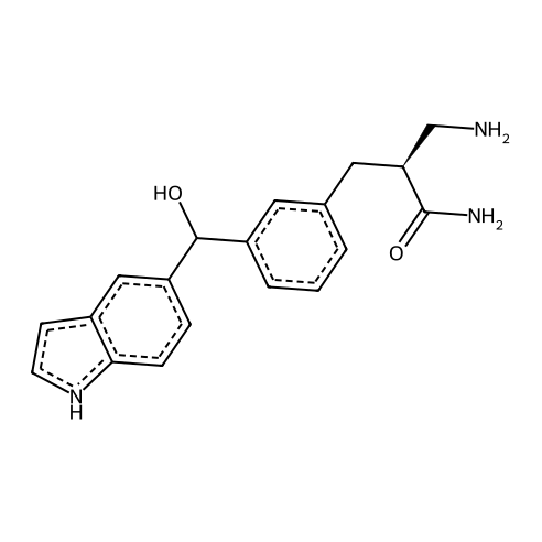 NC[C@H](Cc1cccc(C(O)c2ccc3[nH]ccc3c2)c1)C(N)=O